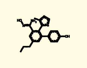 CCCc1cc(C(N)=NO)c(-c2sccc2C)c(-c2ccc(O)cc2)c1